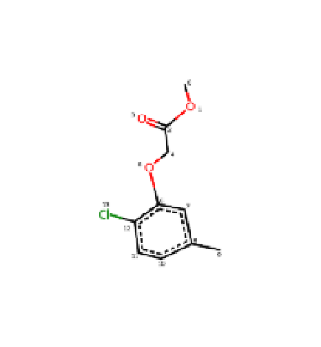 COC(=O)COc1cc(C)ccc1Cl